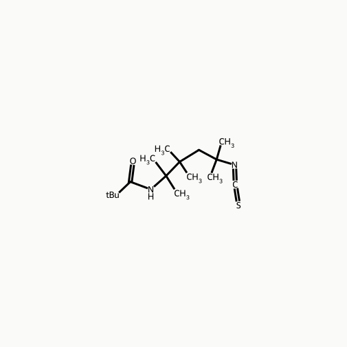 CC(C)(CC(C)(C)C(C)(C)NC(=O)C(C)(C)C)N=C=S